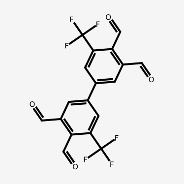 O=Cc1cc(-c2cc(C=O)c(C=O)c(C(F)(F)F)c2)cc(C(F)(F)F)c1C=O